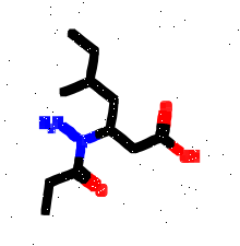 CCC(=O)N(N)C(CC(=O)O)CC(C)CC